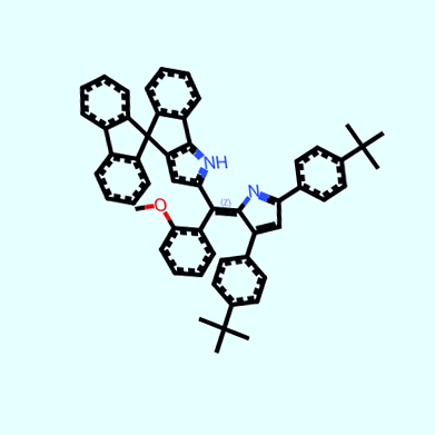 COc1ccccc1/C(=C1/N=C(c2ccc(C(C)(C)C)cc2)C=C1c1ccc(C(C)(C)C)cc1)c1cc2c([nH]1)-c1ccccc1C21c2ccccc2-c2ccccc21